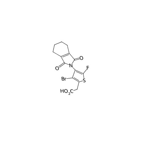 O=C(O)Cc1sc(F)c(N2C(=O)C3=C(CCCC3)C2=O)c1Br